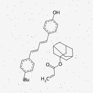 C=CC(=O)OC12CC3CC(CC(C3)C1)C2.CCC(C)c1ccc(C=CC=Cc2ccc(O)cc2)cc1